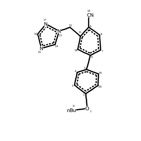 CCCCOc1ccc(-c2ccc(C#N)c(Cn3cncn3)c2)cc1